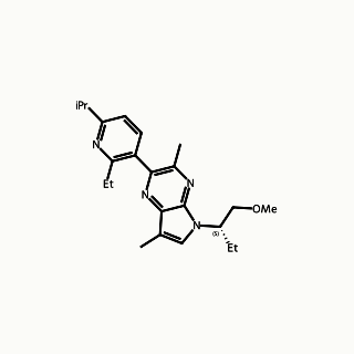 CCc1nc(C(C)C)ccc1-c1nc2c(C)cn([C@@H](CC)COC)c2nc1C